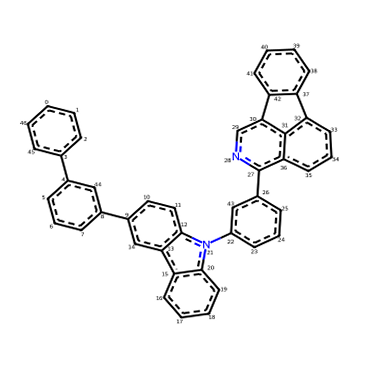 c1ccc(-c2cccc(-c3ccc4c(c3)c3ccccc3n4-c3cccc(-c4ncc5c6c(cccc46)-c4ccccc4-5)c3)c2)cc1